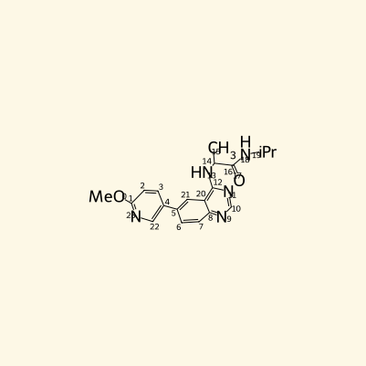 COc1ccc(-c2ccc3ncnc(NC(C)C(=O)NC(C)C)c3c2)cn1